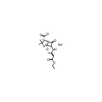 CCOC(=O)/C=C(\C)NC1C(=O)N2[C@@H]1SC(C)(C)[C@@H]2C(=O)[O-].[Na+]